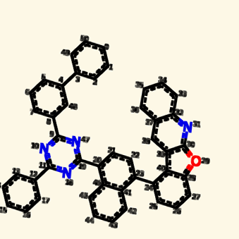 c1ccc(-c2cccc(-c3nc(-c4ccccc4)nc(-c4ccc(-c5cccc6oc7nc8ccccc8cc7c56)c5ccccc45)n3)c2)cc1